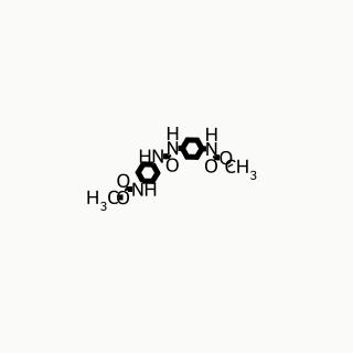 COC(=O)NC1CCC(NC(=O)NC2CCC(NC(=O)OC)CC2)CC1